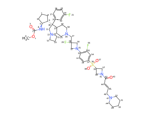 COC(=O)N[C@H]1CCC[C@@H]1C(CN1CCC1)(c1cccc(F)c1)C1CCN(CC2(F)CN(c3ccc(S(=O)(=O)C4CN(C(=O)/C=C/CN5CCCCC5)C4)cc3F)C2)CC1